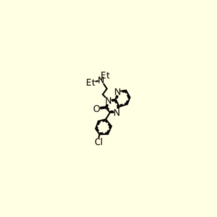 CCN(CC)CCn1c(=O)c(-c2ccc(Cl)cc2)nc2cccnc21